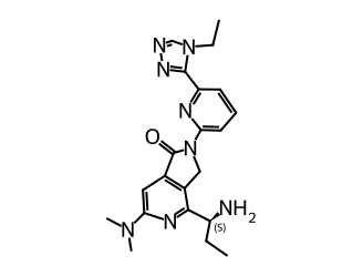 CC[C@H](N)c1nc(N(C)C)cc2c1CN(c1cccc(-c3nncn3CC)n1)C2=O